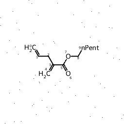 C=CCC(=C)C(=O)OCCCCCC